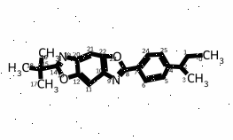 CCC(C)c1ccc(-c2nc3cc4oc(C(C)(C)C)nc4cc3o2)cc1